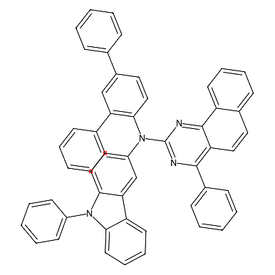 c1ccc(-c2ccc(N(c3ccc4c(c3)c3ccccc3n4-c3ccccc3)c3nc(-c4ccccc4)c4ccc5ccccc5c4n3)c(-c3ccccc3)c2)cc1